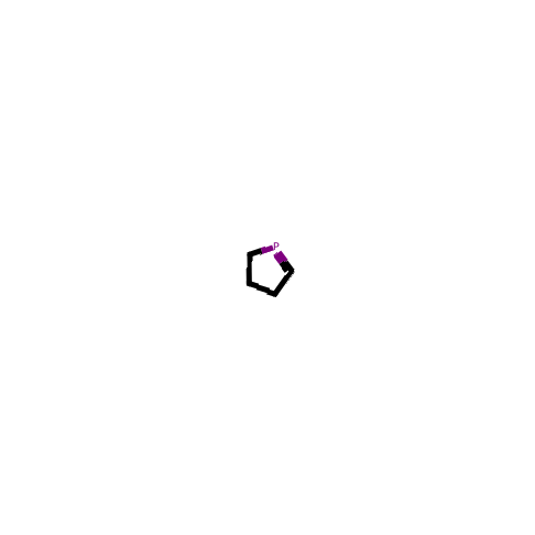 C1=PCCC1